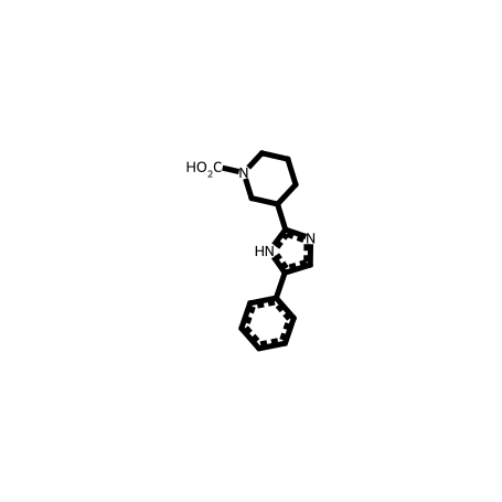 O=C(O)N1CCCC(c2ncc(-c3ccccc3)[nH]2)C1